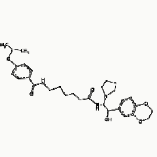 CC(C)Oc1ccc(C(=O)NCCCCCC(=O)N[C@@H]([C@H](O)c2ccc3c(c2)OCCO3)N2CCCC2)cc1